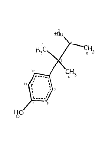 CC(C(C)(C)C)C(C)(C)c1ccc(O)cc1